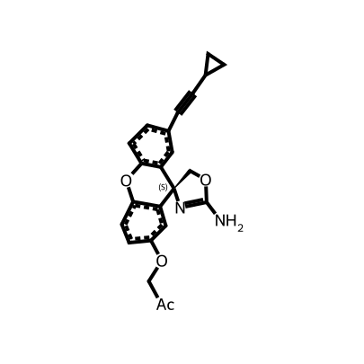 CC(=O)COc1ccc2c(c1)[C@]1(COC(N)=N1)c1cc(C#CC3CC3)ccc1O2